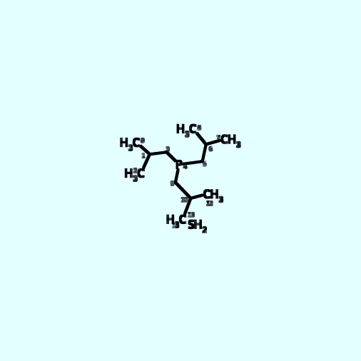 CC(C)CP(CC(C)C)CC(C)C.S